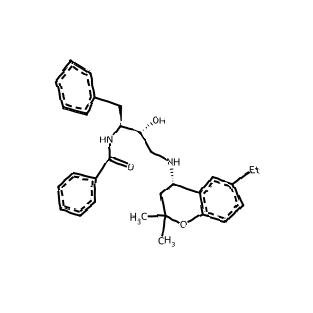 CCc1ccc2c(c1)[C@@H](NC[C@@H](O)[C@H](Cc1ccccc1)NC(=O)c1ccccc1)CC(C)(C)O2